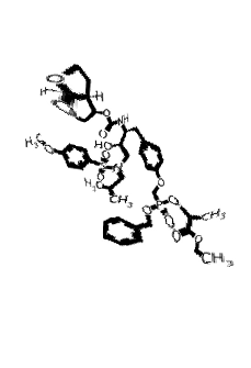 CCOC(=O)C(C)OP(=O)(COc1ccc(C[C@H](NC(=O)O[C@H]2CO[C@H]3OCC[C@H]32)[C@H](O)CN(CC(C)C)S(=O)(=O)c2ccc(OC)cc2)cc1)OCc1ccccc1